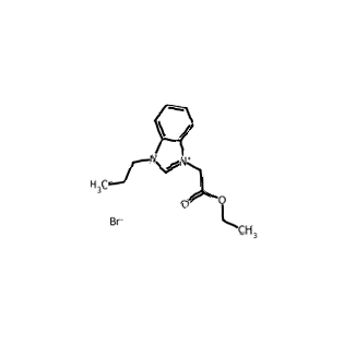 CCCn1c[n+](CC(=O)OCC)c2ccccc21.[Br-]